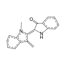 C=c1/c(=C2\Nc3ccccc3C2=O)n(C)c2ccccc12